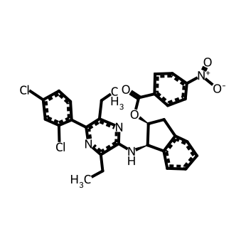 CCc1nc(-c2ccc(Cl)cc2Cl)c(CC)nc1N[C@@H]1c2ccccc2C[C@@H]1OC(=O)c1ccc([N+](=O)[O-])cc1